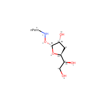 CCCCCNO[C@H]1O[C@H]([C@@H](O)CO)C[C@H]1O